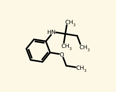 CCOc1ccccc1NC(C)(C)CC